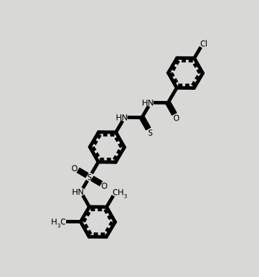 Cc1cccc(C)c1NS(=O)(=O)c1ccc(NC(=S)NC(=O)c2ccc(Cl)cc2)cc1